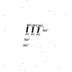 [BH3-]C(C)=O.[BH3-]C(C)=O.[BH3-]C(C)=O.[Na+].[Na+].[Na+]